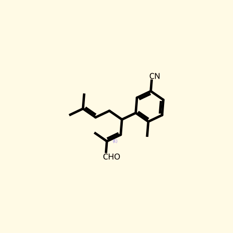 CC(C)=CCC(/C=C(\C)C=O)c1cc(C#N)ccc1C